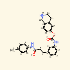 N#Cc1ccc(NC(=O)CCc2cccc(NC(=O)Oc3ccc4c(c3)CCNC4)c2)cc1